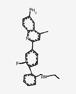 CCNCc1ccccc1-c1ccc(-c2cc(C)c3cc(P)ccc3n2)cc1F